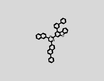 c1ccc(-c2cccc(-c3cc(C4=NC(c5ccc6ccccc6c5)CC(c5ccc6cc(-c7ccccc7)ccc6c5)=N4)cc4oc5ccccc5c34)c2)cc1